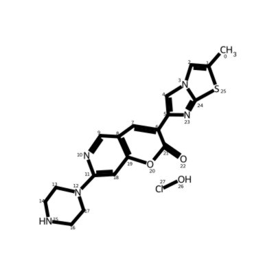 Cc1cn2cc(-c3cc4cnc(N5CCNCC5)cc4oc3=O)nc2s1.OCl